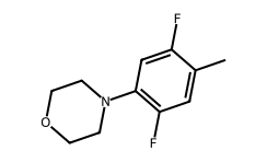 Cc1cc(F)c(N2CCOCC2)cc1F